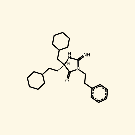 N=C1N[C@](CCC2CCCCC2)(CC2CCCCC2)C(=O)N1CCc1ccccc1